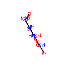 O=CCCCCCCCNC(=O)CCOCCOCCC(O)NCCCCCCCC(=O)NCCCCCCCC(=O)ONC(=O)CCC=O